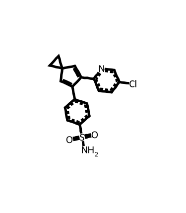 NS(=O)(=O)c1ccc(C2=CC3(C=C2c2ccc(Cl)cn2)CC3)cc1